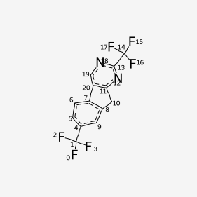 FC(F)(F)c1ccc2c(c1)Cc1nc(C(F)(F)F)ncc1-2